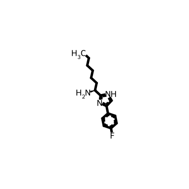 CCCCCC[C@H](N)c1nc(-c2ccc(F)cc2)c[nH]1